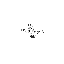 CN(C)CCN(CCN(CCN(CC(O)CO)CC(O)CO)CC(O)CO)CC(O)CO